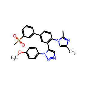 Cc1nc(C(F)(F)F)cn1-c1ccc(-c2cccc(S(C)(=O)=O)c2)cc1-c1cnnn1-c1ccc(OC(F)(F)F)cc1